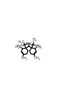 CC1=CC(C)C(C(=O)C2(C(C)(C)C)CCC(C)=CC2C)(C(C)(C)C)CC1